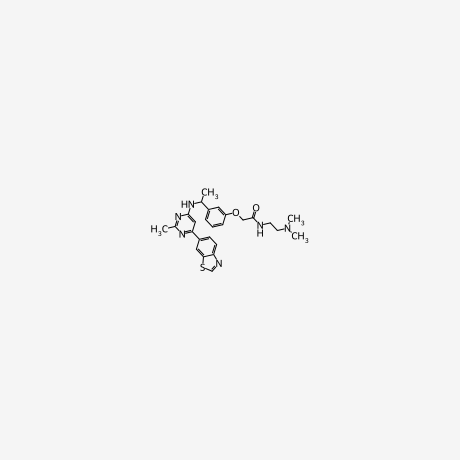 Cc1nc(NC(C)c2cccc(OCC(=O)NCCN(C)C)c2)cc(-c2ccc3ncsc3c2)n1